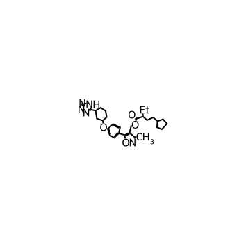 CCC(CCC1CCCC1)C(=O)OCc1c(C)noc1-c1ccc(OC2CCCC(c3nnn[nH]3)C2)cc1